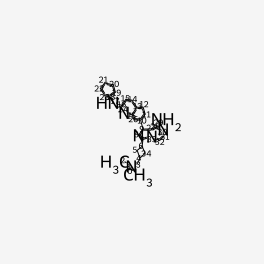 CN(C)CC1CC(c2nc(-c3ccc4ccc(Nc5ccccc5)nc4c3)c3c(N)nccn23)C1